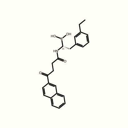 CCc1cccc(C[C@H](NC(=O)CCC(=O)c2ccc3ccccc3c2)B(O)O)c1